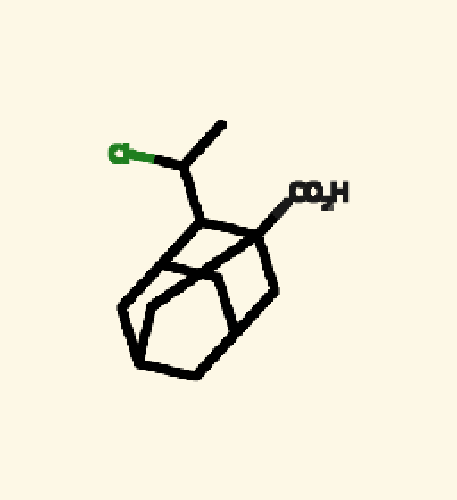 CC(Cl)C1C2CC3CC(C2)CC1(C(=O)O)C3